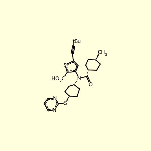 CC(C)(C)C#Cc1cc(N(C(=O)[C@H]2CC[C@H](C)CC2)[C@H]2CC[C@H](Sc3ncccn3)CC2)c(C(=O)O)s1